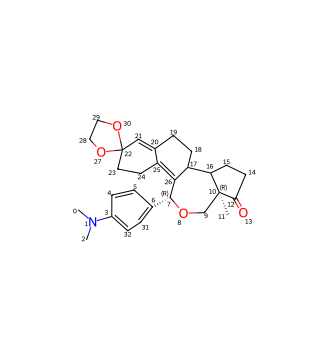 CN(C)c1ccc([C@H]2OC[C@]3(C)C(=O)CCC3C3CCC4=CC5(CCC4=C32)OCCO5)cc1